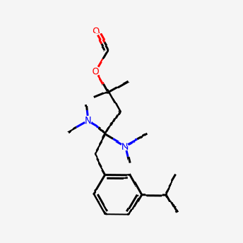 CC(C)c1cccc(CC(CC(C)(C)OC=O)(N(C)C)N(C)C)c1